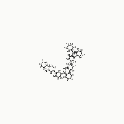 C1=CC2c3ccccc3SC2C=C1c1cccc(Nc2ccccc2-c2ccc(-c3ccc4c(c3)c3ccccc3n4-c3ccccc3)cc2)c1